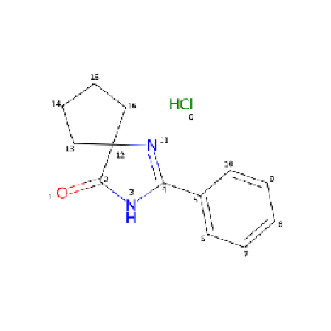 Cl.O=C1NC(c2ccccc2)=NC12CCCC2